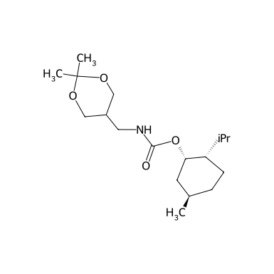 CC(C)[C@@H]1CC[C@@H](C)C[C@@H]1OC(=O)NCC1COC(C)(C)OC1